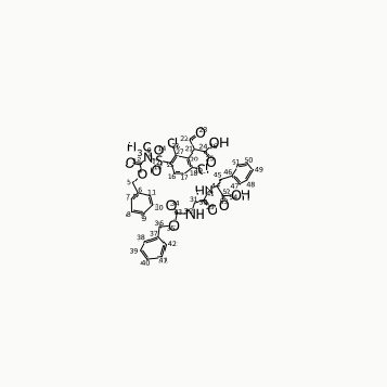 CN(C(=O)OCc1ccccc1)S(=O)(=O)c1ccc(Cl)c(C(C=O)C(=O)O)c1Cl.O=C(CNC(=O)OCc1ccccc1)N[C@@H](Cc1ccccc1)C(=O)O